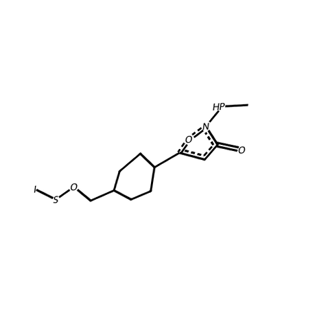 CPn1oc(C2CCC(COSI)CC2)cc1=O